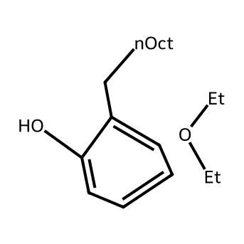 CCCCCCCCCc1ccccc1O.CCOCC